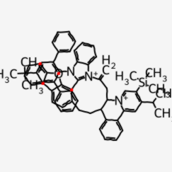 C=C1CC2C(CCc3ccc4c(oc5ccccc54)c3-c3n(-c4c(-c5ccccc5)cc(C(C)(C)C)cc4-c4ccccc4)c4ccccc4[n+]31)c1ccccc1-c1cc(C(C)C)c([Si](C)(C)C)c[n+]12